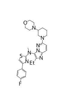 CCc1nc2ccc(N3CCCC(N4CCOCC4)C3)nn2c1N(C)c1nc(-c2ccc(F)cc2)cs1